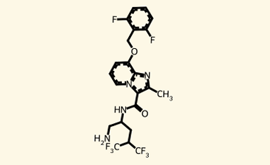 Cc1nc2c(OCc3c(F)cccc3F)cccn2c1C(=O)NC(CN)CC(C(F)(F)F)C(F)(F)F